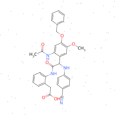 COc1cc(C(Nc2ccc(C#N)cc2)C(=O)Nc2ccccc2CC(=O)O)c(NC(C)=O)cc1OCc1ccccc1